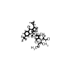 COCC(C)N(C(=O)CCl)c1c(C)csc1C.CS(=O)(=O)c1cc(C(F)(F)F)ccc1C(=O)c1cnoc1C1CC1